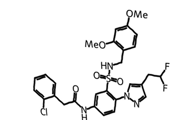 COc1ccc(CNS(=O)(=O)c2cc(NC(=O)Cc3ccccc3Cl)ccc2-n2cc(CC(F)F)cn2)c(OC)c1